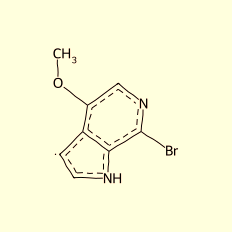 COc1cnc(Br)c2[nH]c[c]c12